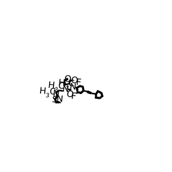 CN(CCN(C(=O)N(C)c1c(F)cc(C#Cc2ccccc2)cc1F)C(C)(C=O)CC=O)c1nccs1